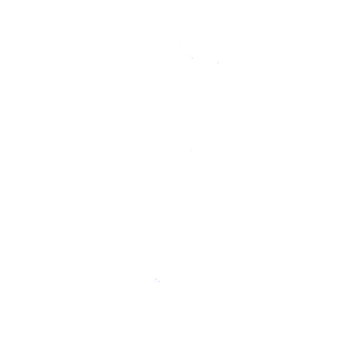 CC/C(C(=O)/C=C/c1ccc(CNC)cc1)=C(O)\C=C\c1ccc(N(C)C)cc1